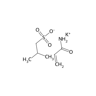 C=CC(N)=O.CC(C)CS(=O)(=O)[O-].[K+]